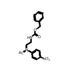 CC(=O)N(CCNC(=O)OCc1ccccc1)c1ccc([N+](=O)[O-])cc1